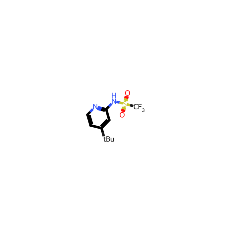 CC(C)(C)c1ccnc(NS(=O)(=O)C(F)(F)F)c1